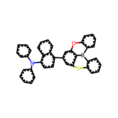 c1ccc(N(c2ccccc2)c2ccc(-c3cc4c5c(c3)Sc3ccccc3B5c3ccccc3O4)c3ccccc23)cc1